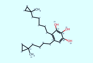 CC1(CCCCCc2c(CCCCC3(C)CC3)cc(O)c(O)c2O)CC1